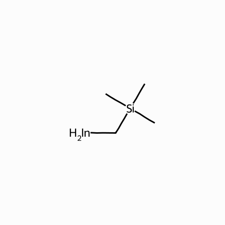 C[Si](C)(C)[CH2][InH2]